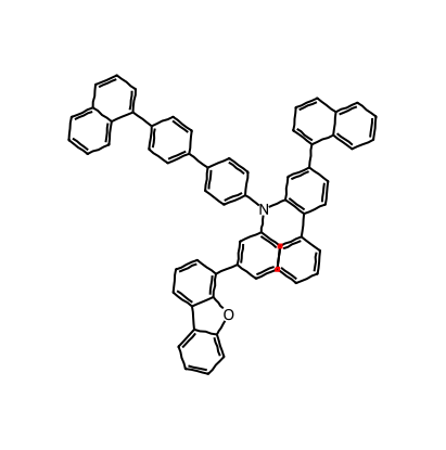 c1ccc(-c2ccc(-c3cccc4ccccc34)cc2N(c2ccc(-c3ccc(-c4cccc5ccccc45)cc3)cc2)c2cccc(-c3cccc4c3oc3ccccc34)c2)cc1